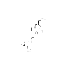 C=Cc1cc(I)c(OCC(=O)OC2(CC)CC(CC)C3CC3C2)c(I)c1